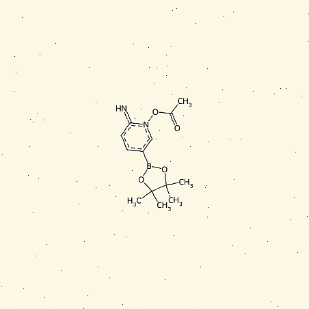 CC(=O)On1cc(B2OC(C)(C)C(C)(C)O2)ccc1=N